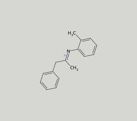 C/C(Cc1ccccc1)=N\c1ccccc1C